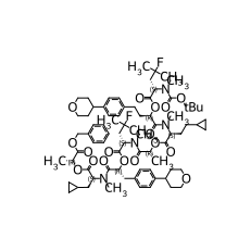 C[C@@H](OC(=O)[C@H](CC1CC1)N(C)C(=O)[C@@H](Cc1ccc(C2CCOCC2)cc1)OC(=O)[C@H](CC(C)(C)F)N(C)C(=O)[C@@H](C)OC(=O)[C@H](CCC1CC1)N(C)C(=O)[C@@H](CCc1ccc(C2CCOCC2)cc1)OC(=O)[C@H](CC(C)(C)F)N(C)C(=O)OC(C)(C)C)C(=O)OCc1ccccc1